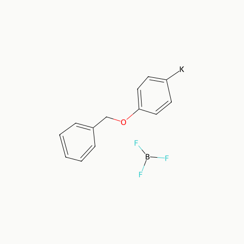 FB(F)F.[K][c]1ccc(OCc2ccccc2)cc1